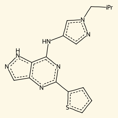 CC(C)Cn1cc(Nc2nc(-c3cccs3)nc3cn[nH]c23)cn1